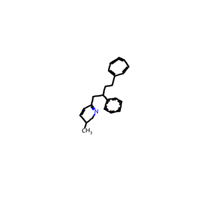 CC1C=CC(CC(CCC2=CC=C=CC=C2)c2ccccc2)=NC1